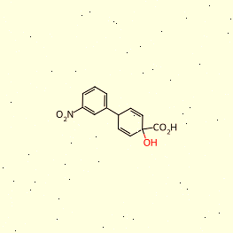 O=C(O)C1(O)C=CC(c2cccc([N+](=O)[O-])c2)C=C1